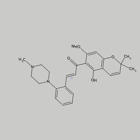 COc1cc2c(c(O)c1C(=O)/C=C/c1ccccc1N1CCN(C)CC1)C=CC(C)(C)O2